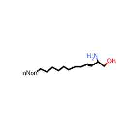 CCCCCCCCCCCCCCCCC/C=C/C(N)CO